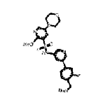 CNCc1ccc(-c2cncc(NS(=O)(=O)c3cc(N4CCOCC4)cnc3OC)c2)cc1F